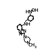 CN1CCN(c2nc3c(NCc4cccc(NO)c4)cccn3n2)CC1